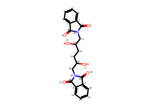 O=C1c2ccccc2C(=O)N1CC(O)CCC(O)CN1C(=O)c2ccccc2C1=O